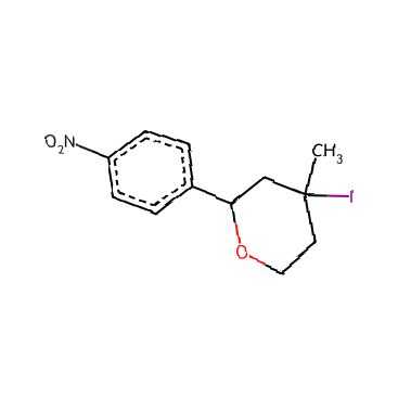 CC1(I)CCOC(c2ccc([N+](=O)[O-])cc2)C1